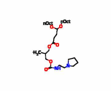 [CH2]C(COC(=O)CCC(OCCCCCCCC)OCCCCCCCC)COC(=O)NCCN1CCCC1